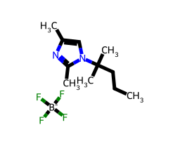 CCCC(C)(C)n1cc(C)nc1C.F[B-](F)(F)F